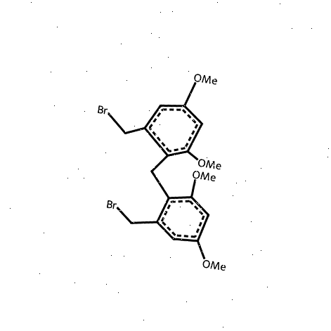 COc1cc(CBr)c(Cc2c(CBr)cc(OC)cc2OC)c(OC)c1